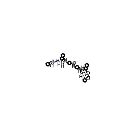 O=C(NC(=O)c1cc2ccccc2c(N=Nc2ccc(N=[N+]([O-])c3ccc(N=Nc4c(O)c(NO/C=N/OCc5ccccc5Cl)cc5ccccc45)cc3)cc2)c1O)Nc1ccccc1Cl